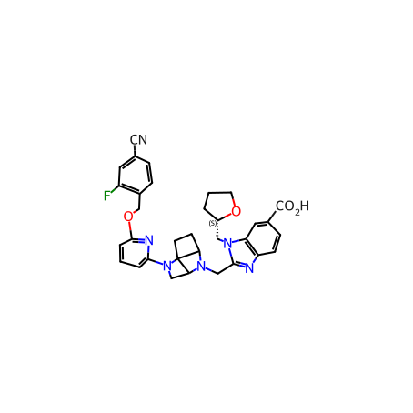 N#Cc1ccc(COc2cccc(N3CC4N(Cc5nc6ccc(C(=O)O)cc6n5C[C@@H]5CCCO5)C5CCC543)n2)c(F)c1